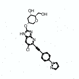 OC[C@H]1OC[C@H](Oc2nc3nc(C#Cc4ccc(-n5cccn5)cc4)c(Cl)cc3[nH]2)C[C@@H]1O